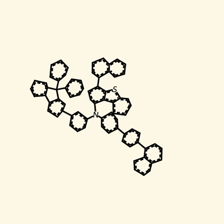 c1ccc(C2(c3ccccc3)c3ccccc3-c3ccc(-c4cccc(N(c5ccc(-c6ccc(-c7cccc8ccccc78)cc6)cc5)c5ccc(-c6cccc7ccccc67)c6sc7ccccc7c56)c4)cc32)cc1